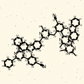 Cc1nc(C)nc(-c2ccc3c4ccccc4n(-c4cc(C#N)cc(Cc5nc(C)nc(-c6ccc7c(c6)c6ccccc6n7-c6cc(C#N)ccc6-c6nc(-c7ccccc7)nc(-c7ccccc7)n6)n5)c4-c4nc(C)nc(C)n4)c3c2)n1